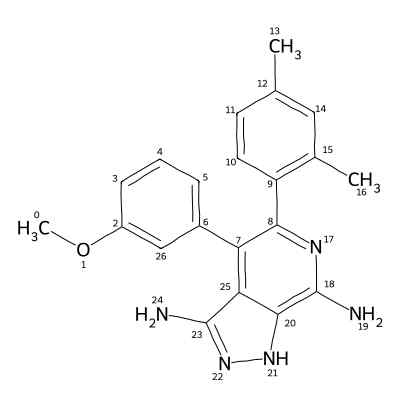 COc1cccc(-c2c(-c3ccc(C)cc3C)nc(N)c3[nH]nc(N)c23)c1